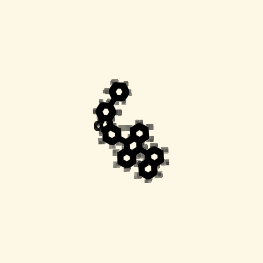 c1ccc(-c2ccc3oc4ccc(-c5c6ccccc6c(-c6cccc7ccccc67)c6ccccc56)cc4c3c2)cc1